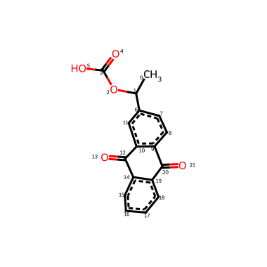 CC(OC(=O)O)c1ccc2c(c1)C(=O)c1ccccc1C2=O